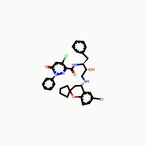 CCc1ccc2c(c1)[C@@H](NC[C@@H](O)[C@H](Cc1ccccc1)NC(=O)c1nn(-c3ccccc3)c(=O)cc1Cl)CC1(CCCC1)O2